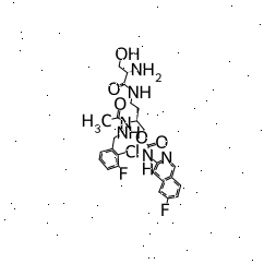 CC(=O)N(NCc1cccc(F)c1Cl)[C@@H](CCNC(=O)[C@@H](N)CO)COC(=O)Nc1cc2cc(F)ccc2cn1